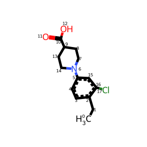 CCc1ccc(N2CCC(C(=O)O)CC2)cc1Cl